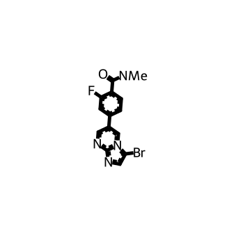 CNC(=O)c1ccc(-c2cnc3ncc(Br)n3c2)cc1F